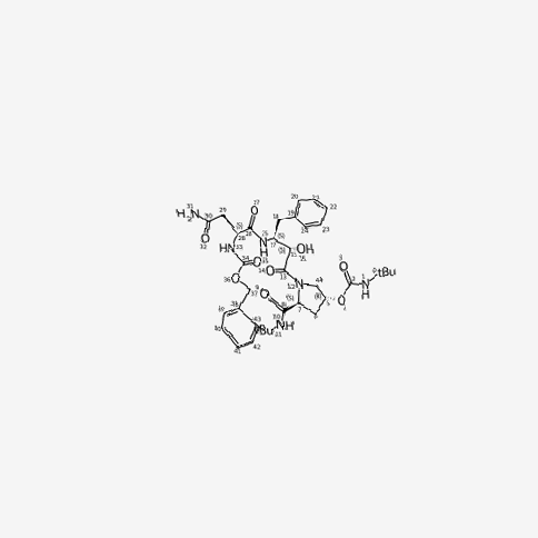 CC(C)(C)NC(=O)O[C@@H]1C[C@@H](C(=O)NC(C)(C)C)N(C(=O)[C@@H](O)[C@H](Cc2ccccc2)NC(=O)[C@H](CC(N)=O)NC(=O)OCc2ccccc2)C1